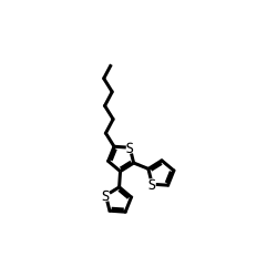 CCCCCCc1cc(-c2cccs2)c(-c2cccs2)s1